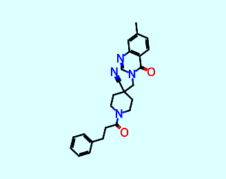 Cc1ccc2c(=O)n(CC3(C#N)CCN(C(=O)CCc4ccccc4)CC3)cnc2c1